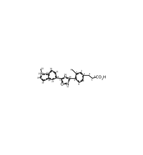 Cc1cc(CCC(=O)O)ccc1-c1noc(-c2ccc3c(ccn3C)c2)n1